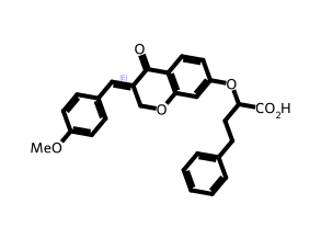 COc1ccc(/C=C2\COc3cc(OC(CCc4ccccc4)C(=O)O)ccc3C2=O)cc1